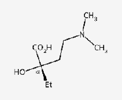 CC[C@](O)(CCN(C)C)C(=O)O